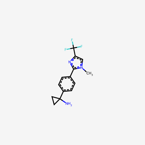 Cn1cc(C(F)(F)F)nc1-c1ccc(C2(N)CC2)cc1